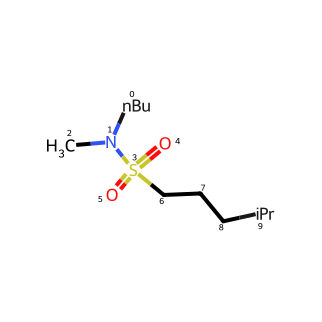 CCCCN(C)S(=O)(=O)CCCC(C)C